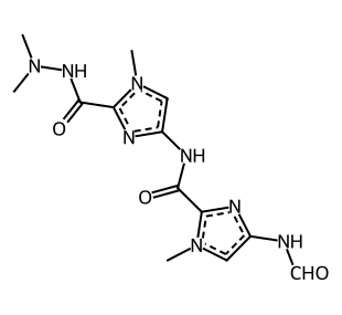 CN(C)NC(=O)c1nc(NC(=O)c2nc(NC=O)cn2C)cn1C